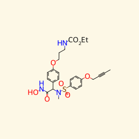 CC#CCOc1ccc(S(=O)(=O)N(C)C(C(=O)NO)c2ccc(OCCCNC(=O)OCC)cc2)cc1